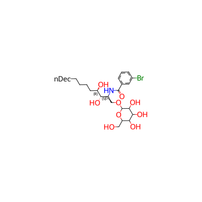 CCCCCCCCCCCCCC[C@@H](O)[C@@H](O)[C@H](COC1OC(CO)C(O)C(O)C1O)NC(=O)c1cccc(Br)c1